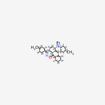 CCN1c2ccc(C)cc2C2=C3C(=C(Nc4ccc(C)cc4)C=CC31)C(=O)c1ccccc12